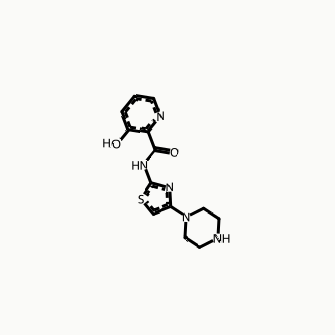 O=C(Nc1nc(N2CCNCC2)cs1)c1ncccc1O